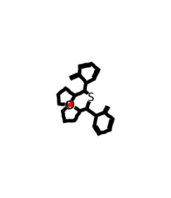 C=C1C=CC=CC1C(SC(C1CCCO1)C1C=CC=CC1=C)C1CCCO1